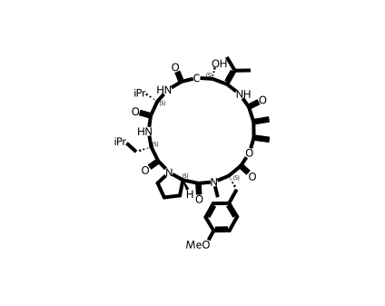 C=C1OC(=O)[C@H](Cc2ccc(OC)cc2)N(C)C(=O)[C@@H]2CCCN2C(=O)[C@H](CC(C)C)NC(=O)[C@H](C(C)C)NC(=O)C[C@H](O)C(=C(C)C)NC(=O)C1=C